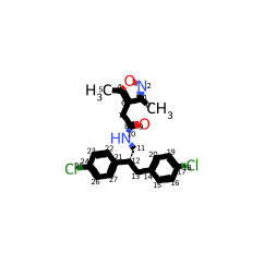 Cc1noc(C)c1CC(=O)NC[C@H](Cc1ccc(Cl)cc1)c1ccc(Cl)cc1